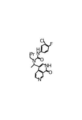 CC(C)CN(C(=O)Nc1ccc(F)c(Cl)c1)C(C)c1c[nH]c(=O)c2cnccc12